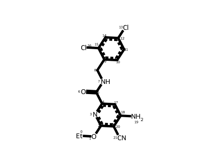 CCOc1nc(C(=O)NCc2ccc(Cl)cc2Cl)cc(N)c1C#N